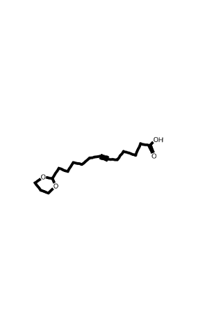 O=C(O)CCCCC#CCCCCCC1OCCCO1